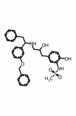 CS(=O)(=O)Nc1cc(CC(O)CNC(Cc2ccccc2)c2cccc(OCc3ccccc3)c2)ccc1O